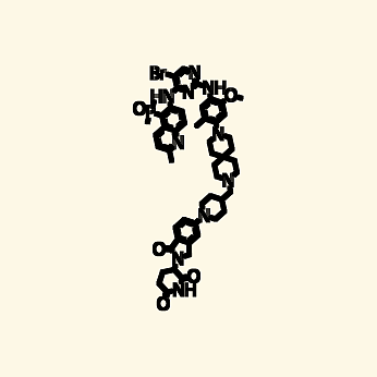 COc1cc(N2CCC3(CCN(CC4CCN(c5ccc6c(c5)CN(C5CCC(=O)NC5=O)C6=O)CC4)CC3)CC2)c(C)cc1Nc1ncc(Br)c(Nc2ccc3nc(C)ccc3c2P(C)(C)=O)n1